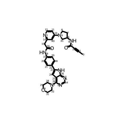 CC#CC(=O)NC1CCN(c2ccnc(CC(=O)Nc3ccc(-c4cc5c(N6CCOCC6)ncnc5[nH]4)cc3)c2)C1